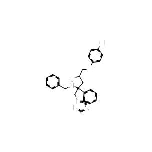 Clc1ccc(OCC2CC(Cn3cncn3)(c3ccccc3)N(Cc3ccccc3)O2)cc1